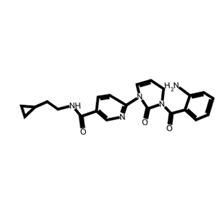 Nc1ccccc1C(=O)N1CC=CN(c2ccc(C(=O)NCCC3CC3)cn2)C1=O